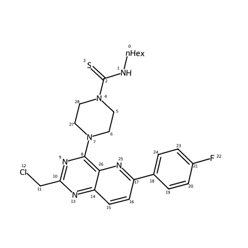 CCCCCCNC(=S)N1CCN(c2nc(CCl)nc3ccc(-c4ccc(F)cc4)nc23)CC1